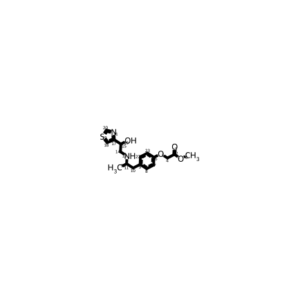 COC(=O)COc1ccc(CC(C)NCC(O)c2cscn2)cc1